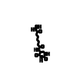 O=C(CCCCCC(=O)Nc1c[nH]c(=O)[nH]c1=O)NO